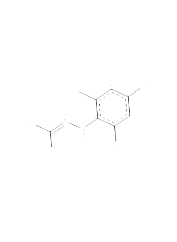 CC(C)(C)C(Cl)=NNc1c(Cl)cc(C(F)(F)F)cc1Cl